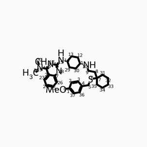 COc1ccc(CSC2(CCN[C@H]3CC[C@@H](Nc4nc(N(C)C)c5ccccc5n4)CC3)CCCCC2)cc1